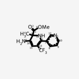 COC(=O)C1(C)NC(c2cccnc2)=C(C(F)(F)F)C=C1N